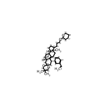 C=Cc1ccc([C@H]2C[C@@]3(C)C(CCCOC4CCCCO4)CC[C@H]3[C@@H]3CC[C@H]4CC5(CCC4=C32)OCC(C)(C)CO5)cc1